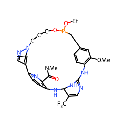 CCOP1Cc2ccc(c(OC)c2)NC2=NC=C(C(F)(F)F)C(N2)Nc2ccc(nc2C(=O)NC)-c2cnn(c2C)CCCO1